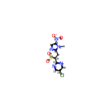 Cn1c([N+](=O)[O-])cnc1CC(c1ncc(Cl)cn1)=S(=O)=O